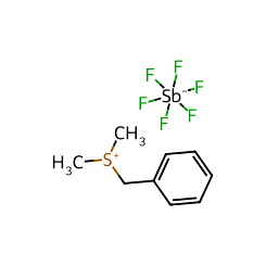 C[S+](C)Cc1ccccc1.[F][Sb-]([F])([F])([F])([F])[F]